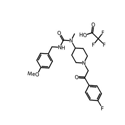 COc1ccc(CNC(=O)N(C)C2CCN(CC(=O)c3ccc(F)cc3)CC2)cc1.O=C(O)C(F)(F)F